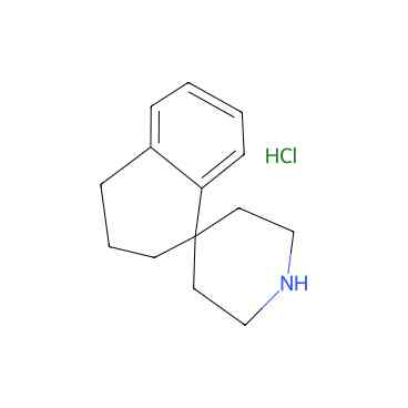 Cl.c1ccc2c(c1)CCCC21CCNCC1